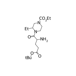 CCOC(=O)N1CCN(C(=O)C(N)CCC(=O)OC(C)(C)C)C(CC)C1